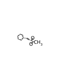 CS(=O)(=O)C#Cc1ccccc1